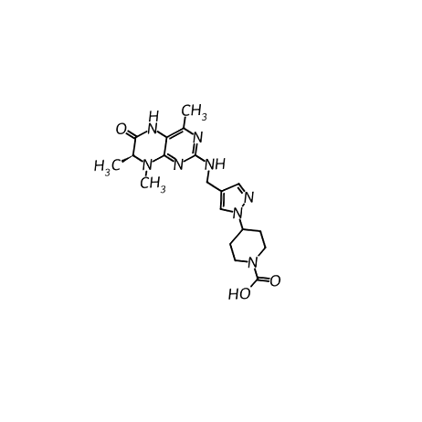 Cc1nc(NCc2cnn(C3CCN(C(=O)O)CC3)c2)nc2c1NC(=O)[C@H](C)N2C